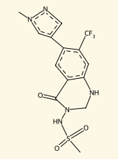 Cn1cc(-c2cc3c(cc2C(F)(F)F)NCN(NS(C)(=O)=O)C3=O)cn1